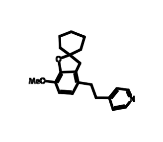 COc1ccc(CCc2ccncc2)c2c1OC1(CCCCC1)C2